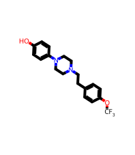 Oc1ccc(N2CCN(CCc3ccc(OC(F)(F)F)cc3)CC2)cc1